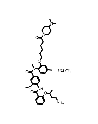 COc1cc(C(=O)N(C)c2ccc(C)cc2OCCCCCC(=O)N2CCC(N(C)C)CC2)ccc1NC(=O)c1ccccc1OC(C)CCN.Cl.Cl